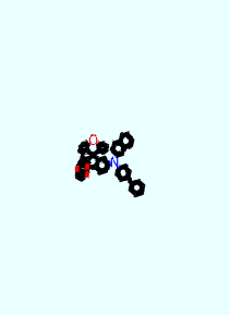 c1ccc(-c2ccc(N(c3ccc4c(c3)C3(c5ccccc5Oc5cccc(-c6ccccc6)c53)c3ccccc3-4)c3ccc4ccccc4c3)cc2)cc1